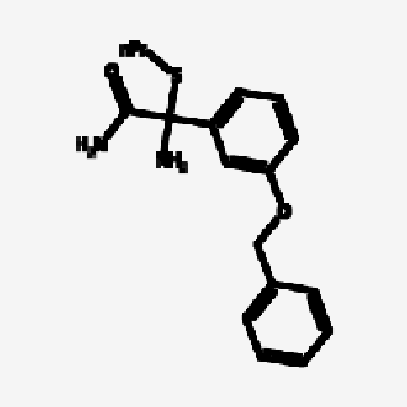 CCCSC(N)(C(N)=O)c1cccc(OCc2ccccc2)c1